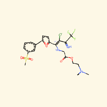 CN(C)CCOC(=O)CN/C(=C(/Cl)C(=N)C(F)(F)F)c1ccc(-c2cccc(S(C)(=O)=O)c2)o1